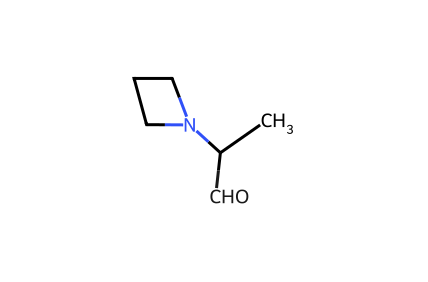 CC(C=O)N1CCC1